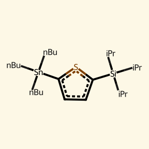 CCC[CH2][Sn]([CH2]CCC)([CH2]CCC)[c]1ccc([Si](C(C)C)(C(C)C)C(C)C)s1